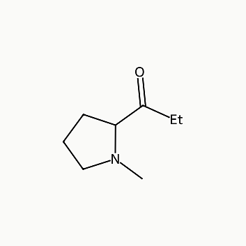 CCC(=O)C1CCCN1C